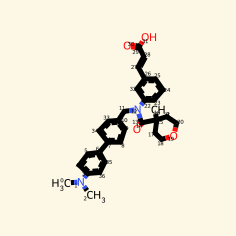 CN(C)c1ccc(-c2ccc(CN(C(=O)C3(C)CCOCC3)c3cccc(C=CC(=O)O)c3)cc2)cc1